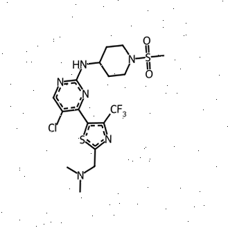 CN(C)Cc1nc(C(F)(F)F)c(-c2nc(NC3CCN(S(C)(=O)=O)CC3)ncc2Cl)s1